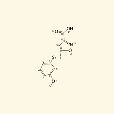 COc1cccc(SCc2cc(C(=O)O)no2)c1